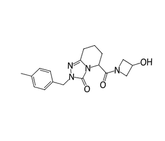 Cc1ccc(Cn2nc3n(c2=O)C(C(=O)N2CC(O)C2)CCC3)cc1